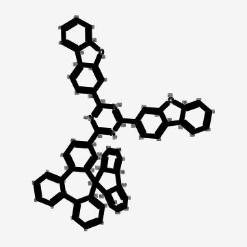 c1ccc2c(c1)-c1ccccc1C1(c3cc(-c4nc(-c5ccc6c(c5)oc5ccccc56)nc(-c5ccc6c(c5)oc5ccccc56)n4)ccc3-2)c2ccccc2-c2ccccc21